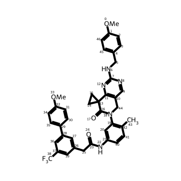 COc1ccc(CNc2ncc3c(n2)C2(CC2)C(=O)N(c2cc(NC(=O)Cc4cc(-c5ccc(OC)cc5)cc(C(F)(F)F)c4)ccc2C)C3)cc1